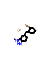 Br.Cn1nnc2ccc(Cc3ccccc3Br)cc21